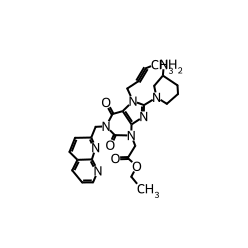 CC#CCn1c(N2CCCC(N)C2)nc2c1c(=O)n(Cc1ccc3cccnc3n1)c(=O)n2CC(=O)OCC